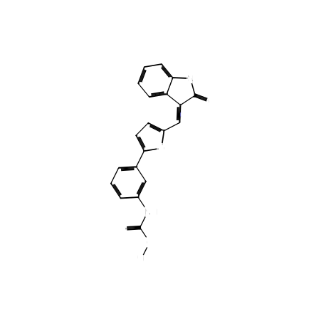 CC(C)(C)OC(=O)Nc1cccc(-c2ccc(/C=C3/C(=O)Nc4ccccc43)o2)c1